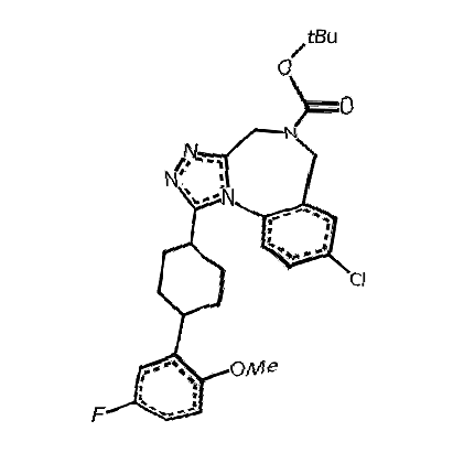 COc1ccc(F)cc1C1CCC(c2nnc3n2-c2ccc(Cl)cc2CN(C(=O)OC(C)(C)C)C3)CC1